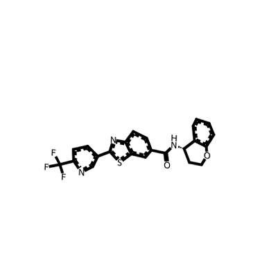 O=C(N[C@H]1CCOc2ccccc21)c1ccc2nc(-c3ccc(C(F)(F)F)nc3)sc2c1